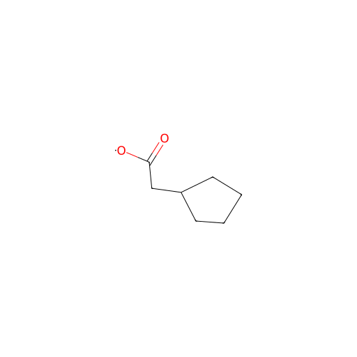 [O]C(=O)CC1CCCC1